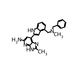 Cc1nc2c(-c3cc4c(CN(C)Cc5ccccc5)cccc4[nH]3)cc(N)nc2[nH]1